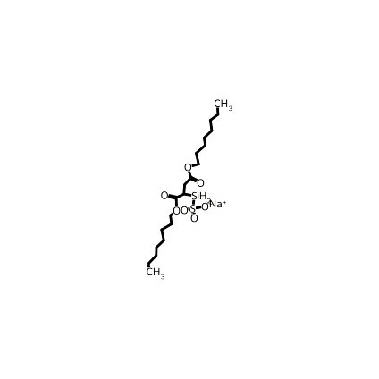 CCCCCCCCOC(=O)CC([SiH2]S(=O)(=O)[O-])C(=O)OCCCCCCCC.[Na+]